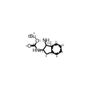 CC(C)(C)OC(=O)NC1Cc2ccccc2C1N